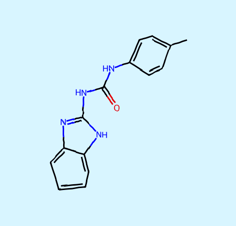 Cc1ccc(NC(=O)Nc2nc3ccccc3[nH]2)cc1